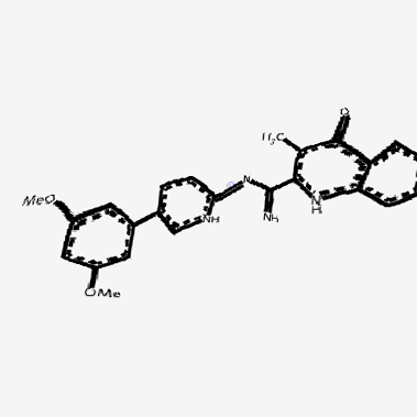 COc1cc(OC)cc(-c2cc/c(=N/C(=N)c3[nH]c4ccccc4c(=O)c3C)[nH]c2)c1